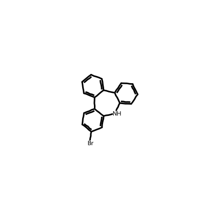 Brc1ccc2c(c1)Nc1ccccc1-c1ccccc1-2